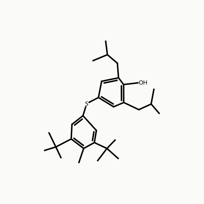 Cc1c(C(C)(C)C)cc(Sc2cc(CC(C)C)c(O)c(CC(C)C)c2)cc1C(C)(C)C